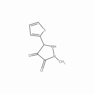 CN1NC(c2cccs2)C(=O)C1=O